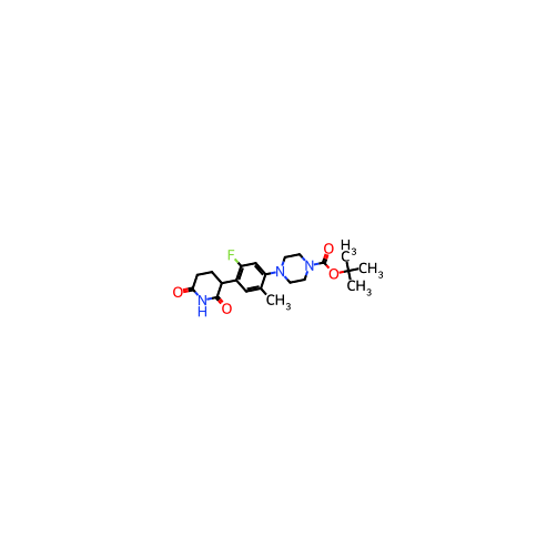 Cc1cc(C2CCC(=O)NC2=O)c(F)cc1N1CCN(C(=O)OC(C)(C)C)CC1